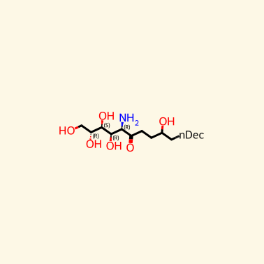 CCCCCCCCCCCC(O)CCC(=O)[C@H](N)[C@@H](O)[C@H](O)[C@H](O)CO